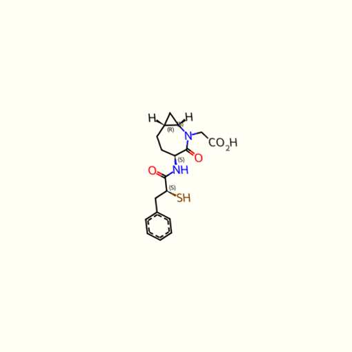 O=C(O)CN1C(=O)[C@@H](NC(=O)[C@@H](S)Cc2ccccc2)CC[C@@H]2C[C@@H]21